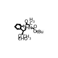 CC(OC=O)C1CN(C(=O)[C@H](C)NC(=O)OC(C)(C)C)c2ccccc21